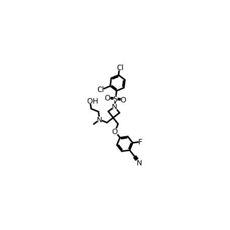 CN(CCO)CC1(COc2ccc(C#N)c(F)c2)CN(S(=O)(=O)c2ccc(Cl)cc2Cl)C1